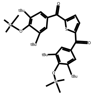 CC(C)(C)c1cc(C(=O)c2ccc(C(=O)c3cc(C(C)(C)C)c(O[Si](C)(C)C)c(C(C)(C)C)c3)s2)cc(C(C)(C)C)c1O[Si](C)(C)C